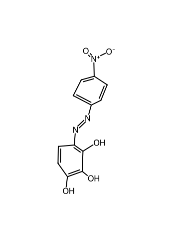 O=[N+]([O-])c1ccc(N=Nc2ccc(O)c(O)c2O)cc1